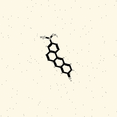 CN(C)c1ccc2c(ccc3cc4c(cc32)=CCC(=O)C=4)c1